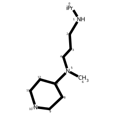 CC(C)NCCCN(C)C1CC[N]CC1